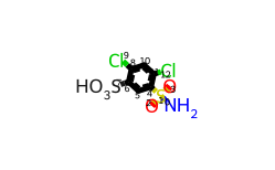 NS(=O)(=O)c1cc(S(=O)(=O)O)c(Cl)cc1Cl